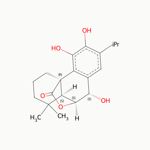 CC(C)c1cc2c(c(O)c1O)[C@@]13CCCC(C)(C)[C@@H]1[C@H](OC3=O)[C@H]2O